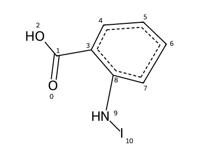 O=C(O)c1ccccc1NI